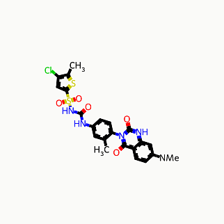 CNc1ccc2c(=O)n(-c3ccc(NC(=O)NS(=O)(=O)c4cc(Cl)c(C)s4)cc3C)c(=O)[nH]c2c1